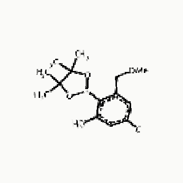 COCc1cc(Cl)cc(O)c1B1OC(C)(C)C(C)(C)O1